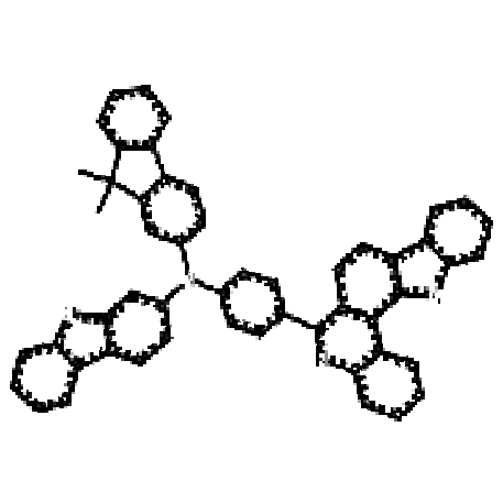 CC1(C)c2ccccc2-c2ccc(N(c3ccc(-c4nc5ccccc5c5c4ccc4c6ccccc6sc45)cc3)c3ccc4c(c3)oc3ccccc34)cc21